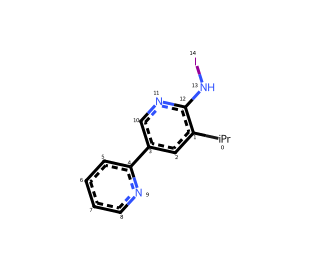 CC(C)c1cc(-c2ccccn2)cnc1NI